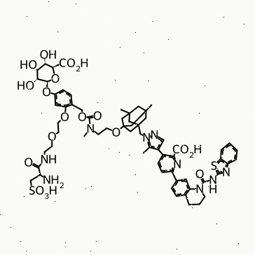 Cc1c(-c2ccc(-c3ccc4c(c3)N(C(=O)Nc3nc5ccccc5s3)CCC4)nc2C(=O)O)cnn1CC12CC3(C)CC(C)(C1)CC(OCCN(C)C(=O)OCc1ccc(O[C@@H]4O[C@H](C(=O)O)[C@@H](O)[C@H](O)[C@H]4O)cc1OCCOCCNC(=O)C(N)CS(=O)(=O)O)(C3)C2